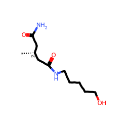 C[C@@H]([CH]C(=O)NCCCCCO)CC(N)=O